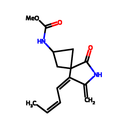 C=C1NC(=O)C2(CC(NC(=O)OC)C2)/C1=C/C=C\C